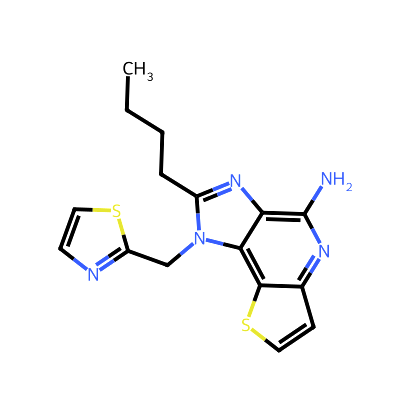 CCCCc1nc2c(N)nc3ccsc3c2n1Cc1nccs1